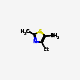 Bc1sc(C)nc1CC